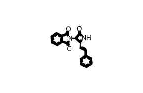 O=C1N[C@@H](/C=C/c2ccccc2)[C@H]1N1C(=O)c2ccccc2C1=O